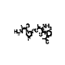 CC(=O)[C@@H]1CCCN1C(=O)[C@@H](N)[C@H](C)OC[C@@H]1C[C@@H](C)CN1C(=O)[C@H](C)N